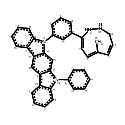 CC1=C\C=C(\c2cccc(-n3c4ccccc4c4cc5c6ccccc6n(-c6ccccc6)c5cc43)c2)NNC/C=C\1